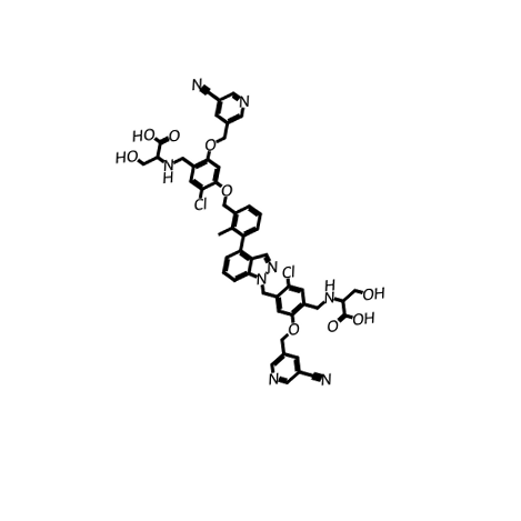 Cc1c(COc2cc(OCc3cncc(C#N)c3)c(CNC(CO)C(=O)O)cc2Cl)cccc1-c1cccc2c1cnn2Cc1cc(OCc2cncc(C#N)c2)c(CNC(CO)C(=O)O)cc1Cl